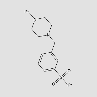 CC(C)N1CCN(Cc2cccc(S(=O)(=O)C(C)C)c2)CC1